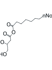 CCCCCCCCCCCCCCCC(=O)OC(=O)CC(O)CO